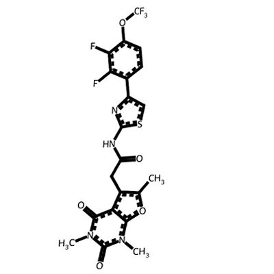 Cc1oc2c(c1CC(=O)Nc1nc(-c3ccc(OC(F)(F)F)c(F)c3F)cs1)c(=O)n(C)c(=O)n2C